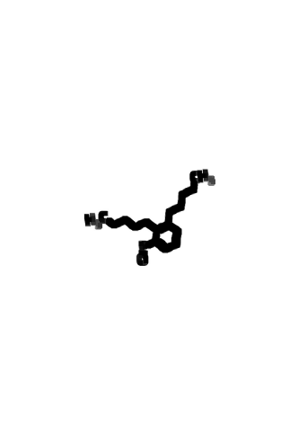 CCCCCc1cccc(P=O)c1CCCCC